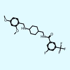 COc1ccc(CNC2CCC(CNC(=O)c3cc(F)cc(C(F)(F)F)c3)CC2)c(OC)c1